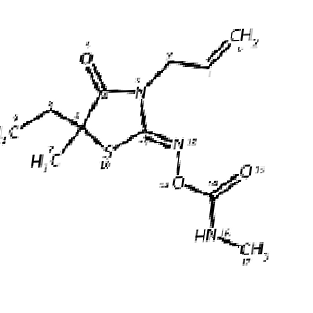 C=CCN1C(=O)C(C)(CC)SC1=NOC(=O)NC